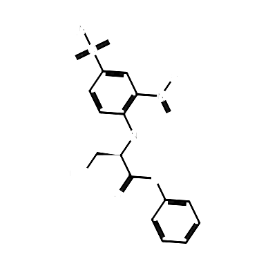 CC[C@@H](Nc1ccc(S(N)(=O)=O)cc1[N+](=O)[O-])C(=O)Sc1ccccc1